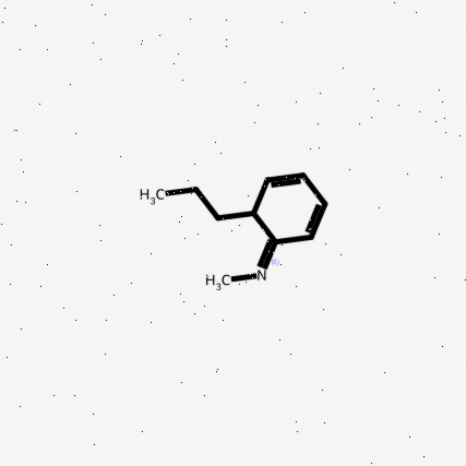 CCCC1C=CC=C/C1=N/C